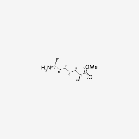 COC(=O)[C@@H](C)CCCCC(N)I